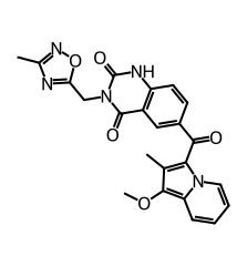 COc1c(C)c(C(=O)c2ccc3[nH]c(=O)n(Cc4nc(C)no4)c(=O)c3c2)n2ccccc12